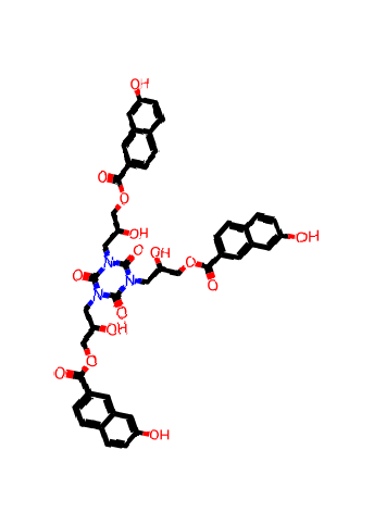 O=C(OCC(O)Cn1c(=O)n(CC(O)COC(=O)c2ccc3ccc(O)cc3c2)c(=O)n(CC(O)COC(=O)c2ccc3ccc(O)cc3c2)c1=O)c1ccc2ccc(O)cc2c1